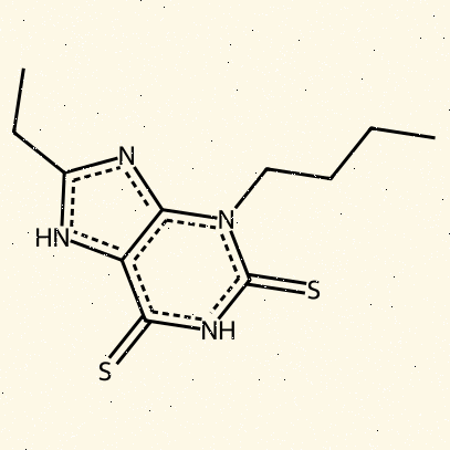 CCCCn1c(=S)[nH]c(=S)c2[nH]c(CC)nc21